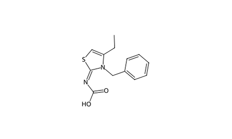 CCc1cs/c(=N/C(=O)O)n1Cc1ccccc1